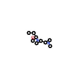 C1=CC(c2ccc(-n3c4ccccc4c4cc(-c5ccc6c(c5)c5ccccc5n6-c5ccccc5)ccc43)c3c2oc2ccccc23)CC(c2ccccc2)=C1